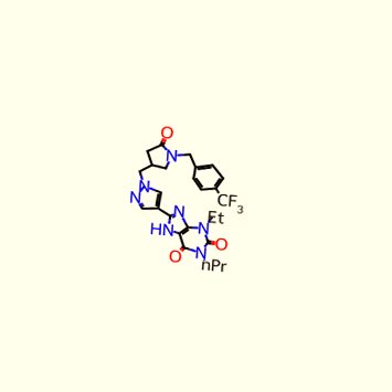 CCCn1c(=O)c2[nH]c(-c3cnn(CC4CC(=O)N(Cc5ccc(C(F)(F)F)cc5)C4)c3)nc2n(CC)c1=O